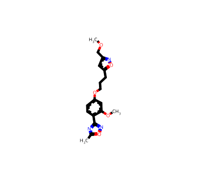 COCc1cc(CCCOc2ccc(-c3noc(C)n3)c(OC)c2)on1